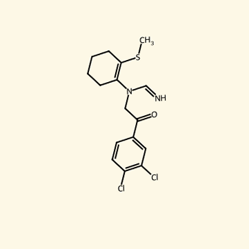 CSC1=C(N(C=N)CC(=O)c2ccc(Cl)c(Cl)c2)CCCC1